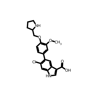 COc1cc(-c2cc3c(C(=O)O)c[nH]c3cc2Cl)ccc1OCC1CCCN1